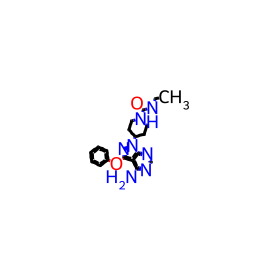 CCNC(=O)N1CCC(n2nc(Oc3ccccc3)c3c(N)ncnc32)CC1